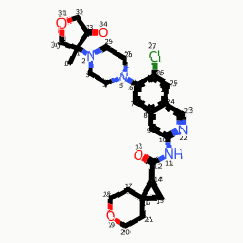 CC1(N2CCN(c3cc4cc(NC(=O)C5CC56CCOCC6)ncc4cc3Cl)CC2)COCC1=O